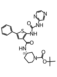 CC(C)(C)OC(=O)N1CCC[C@H](NC(=O)c2cc(-c3ccccc3)sc2NC(=O)Nc2cnccn2)C1